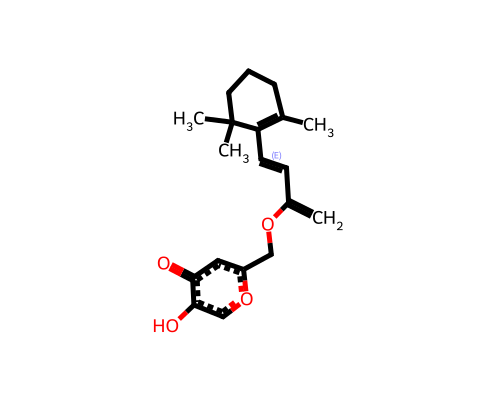 C=C(/C=C/C1=C(C)CCCC1(C)C)OCc1cc(=O)c(O)co1